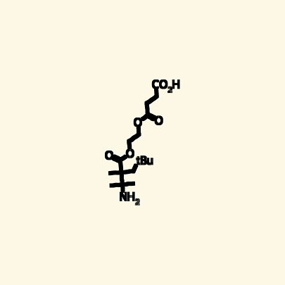 CC(C)(C)CC(C)(C(=O)OCCOC(=O)CCC(=O)O)C(C)(C)N